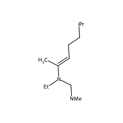 CCN(CNC)/C(C)=C/CCC(C)C